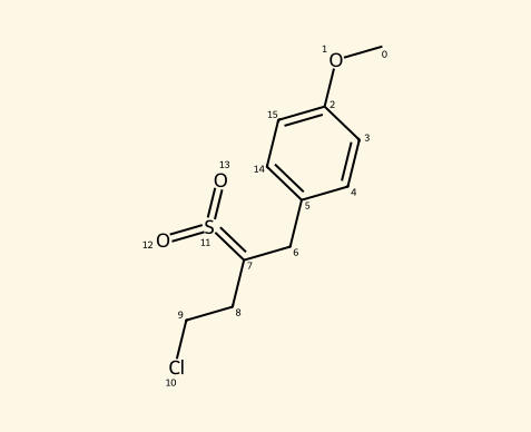 COc1ccc(CC(CCCl)=S(=O)=O)cc1